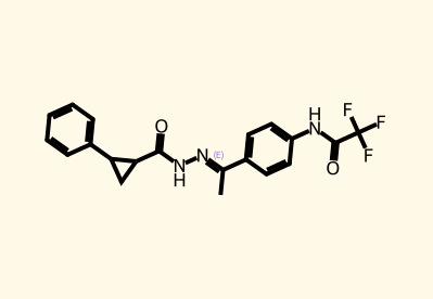 C/C(=N\NC(=O)C1CC1c1ccccc1)c1ccc(NC(=O)C(F)(F)F)cc1